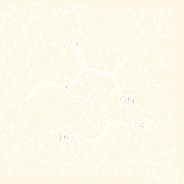 CCOC(=O)C(C)O.OCCO